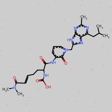 Cc1nc(CC(C)C)c2nc(Cn3cccc(NC(=O)C(CCC=CC(=O)N(C)C)NC(=O)O)c3=O)[nH]c2n1